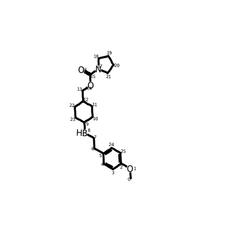 COc1ccc(CCBC2CCC(COC(=O)N3CCCC3)CC2)cc1